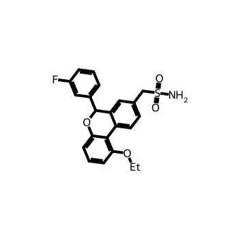 CCOc1cccc2c1-c1ccc(CS(N)(=O)=O)cc1C(c1cccc(F)c1)O2